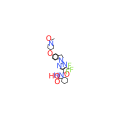 CC(=O)N1CCC(Oc2ccc3c(c2)CCN3c2ncc(C(=O)NC3(C(=O)O)CCCCC3)c(C(F)(F)F)n2)CC1